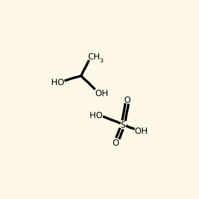 CC(O)O.O=S(=O)(O)O